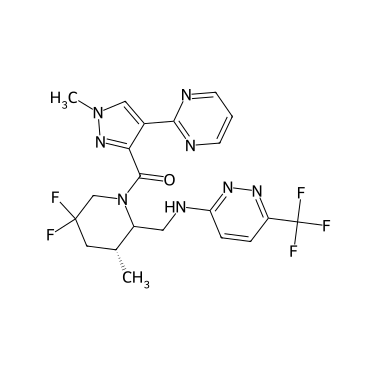 C[C@@H]1CC(F)(F)CN(C(=O)c2nn(C)cc2-c2ncccn2)C1CNc1ccc(C(F)(F)F)nn1